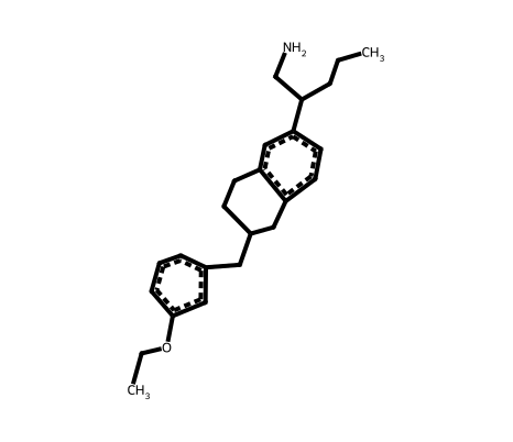 CCCC(CN)c1ccc2c(c1)CCC(Cc1cccc(OCC)c1)C2